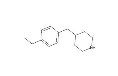 CCc1ccc(CC2CCNCC2)cc1